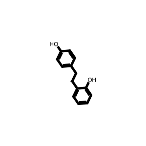 Oc1ccc(C[CH]c2ccccc2O)cc1